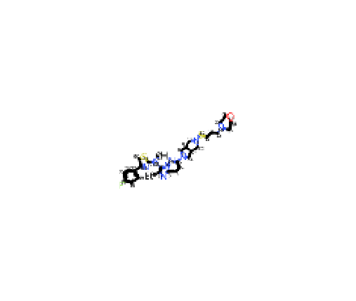 CCc1nc2ccc(N3CC4CN(SCCCN5CCOCC5)CC4C3)nn2c1N(C)c1nc(-c2ccc(F)cc2)cs1